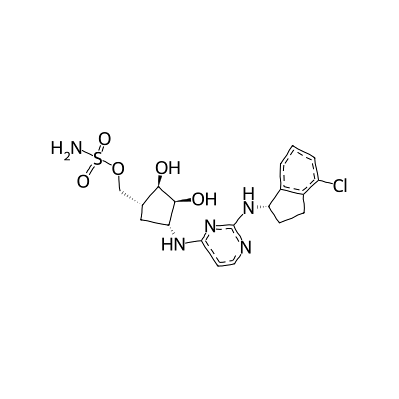 NS(=O)(=O)OC[C@H]1C[C@@H](Nc2ccnc(N[C@H]3CCc4c(Cl)cccc43)n2)[C@H](O)[C@@H]1O